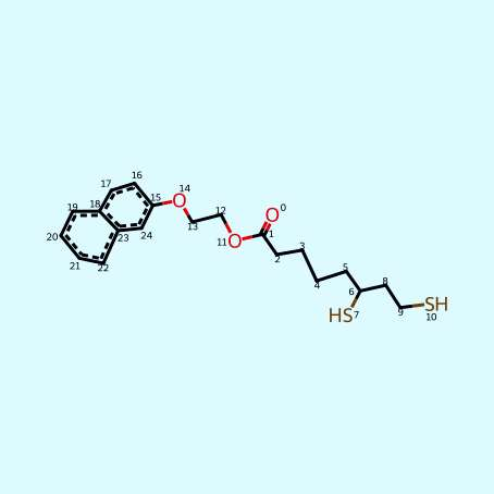 O=C(CCCCC(S)CCS)OCCOc1ccc2ccccc2c1